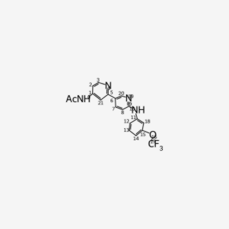 CC(=O)Nc1ccnc(-c2ccc(Nc3cccc(OC(F)(F)F)c3)nc2)c1